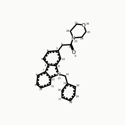 O=C(Cc1ccc2c3ccccc3n(Cc3ccccc3)c2c1)N1CCOCC1